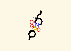 C=CC[C@]1(C)CCCN(S(=O)(=O)C2C=CC(C)=CC2)C1=O